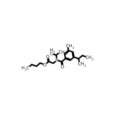 CCCCOC(=O)CN(C(=O)c1cc(C)cc(C(C)CC)c1)C(C)C